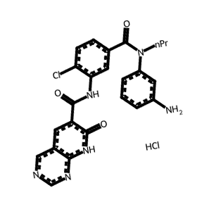 CCCN(C(=O)c1ccc(Cl)c(NC(=O)c2cc3cncnc3[nH]c2=O)c1)c1cccc(N)c1.Cl